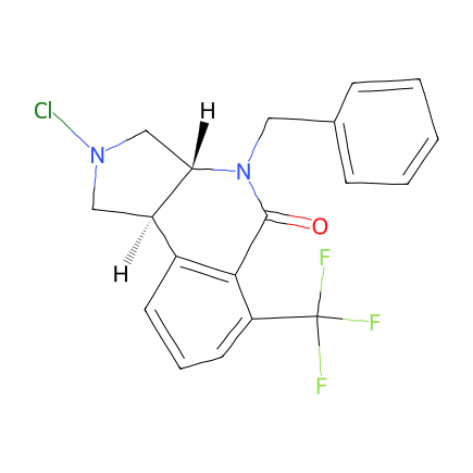 O=C1c2c(cccc2C(F)(F)F)[C@H]2CN(Cl)C[C@@H]2N1Cc1ccccc1